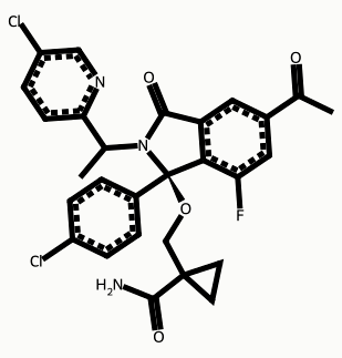 CC(=O)c1cc(F)c2c(c1)C(=O)N(C(C)c1ccc(Cl)cn1)[C@@]2(OCC1(C(N)=O)CC1)c1ccc(Cl)cc1